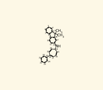 CC1(C)c2ccccc2-c2ccc(NC3C=CC=C(c4ccccc4)C=C3)cc21